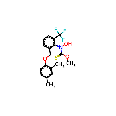 COC(=S)N(O)c1c(COc2ccc(C)cc2C)cccc1C(F)(F)F